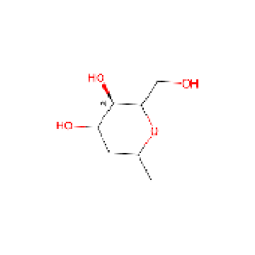 CC1CC(O)[C@@H](O)C(CO)O1